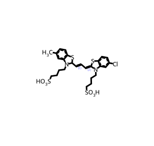 Cc1ccc2c(c1)N(CCCCS(=O)(=O)O)C(/C=C/C=C1\Sc3ccc(Cl)cc3N1CCCCS(=O)(=O)O)S2